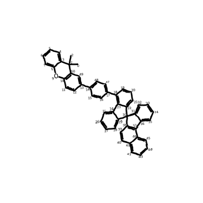 CC1(C)c2ccccc2Oc2ccc(-c3ccc(-c4cccc5c4-c4ccccc4C54c5ccccc5-c5c4ccc4ccccc54)cc3)cc21